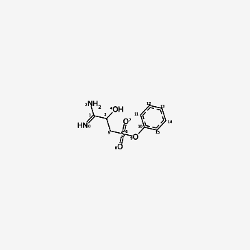 N=C(N)C(O)CS(=O)(=O)Oc1ccccc1